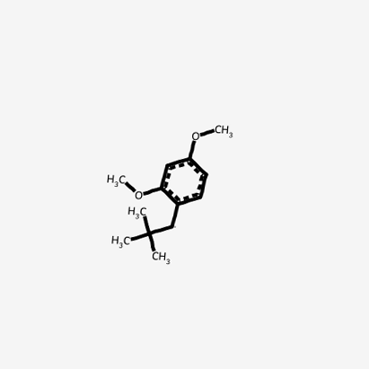 COc1ccc([CH]C(C)(C)C)c(OC)c1